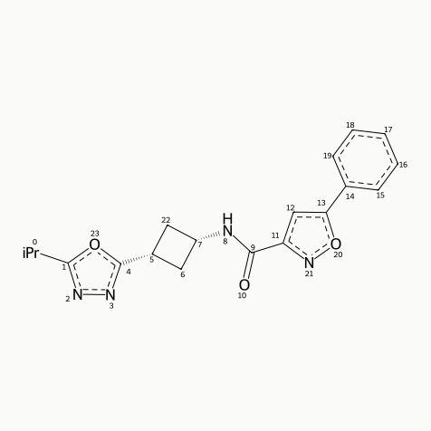 CC(C)c1nnc([C@H]2C[C@@H](NC(=O)c3cc(-c4ccccc4)on3)C2)o1